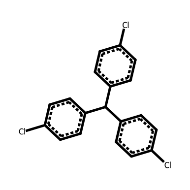 Clc1ccc(C(c2ccc(Cl)cc2)c2ccc(Cl)cc2)cc1